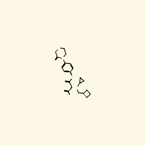 NC(=O)[C@H](C(=O)Nc1ccc(N2CCOCC2=O)cc1)N(CC1CCC1)C1CC1